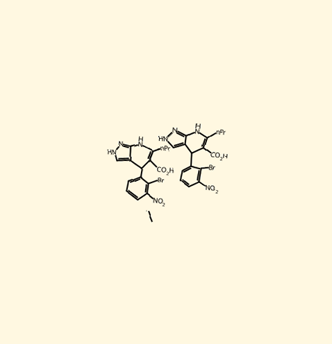 CCCC1=C(C(=O)O)C(c2cccc([N+](=O)[O-])c2Br)c2c[nH]nc2N1.CCCC1=C(C(=O)O)C(c2cccc([N+](=O)[O-])c2Br)c2c[nH]nc2N1.[CH2]C